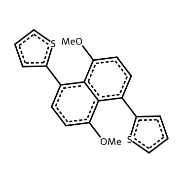 COc1ccc(-c2cccs2)c2c(OC)ccc(-c3cccs3)c12